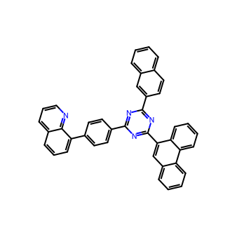 c1ccc2cc(-c3nc(-c4ccc(-c5cccc6cccnc56)cc4)nc(-c4cc5ccccc5c5ccccc45)n3)ccc2c1